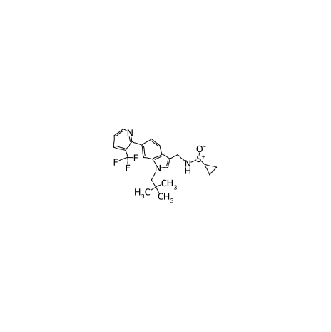 CC(C)(C)Cn1cc(CN[S+]([O-])C2CC2)c2ccc(-c3ncccc3C(F)(F)F)cc21